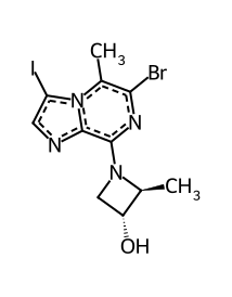 Cc1c(Br)nc(N2C[C@@H](O)[C@@H]2C)c2ncc(I)n12